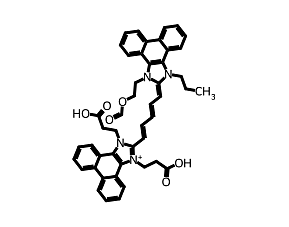 CCCN1/C(=C/C=C/C=C/c2n(CCC(=O)O)c3c4ccccc4c4ccccc4c3[n+]2CCC(=O)O)N(CCOC=O)c2c1c1ccccc1c1ccccc21